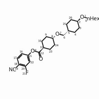 CCCCCCO[C@H]1CC[C@H](CO[C@H]2CC[C@H](C(=O)Oc3ccc(C#N)c(F)c3)CC2)CC1